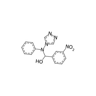 O=[N+]([O-])c1cccc(C(O)N(c2ccccc2)n2cnnc2)c1